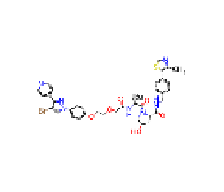 Cc1ncsc1-c1ccc(CNC(=O)[C@@H]2C[C@@H](O)CN2C(=O)[C@@H](NC(=O)COCCOc2ccc(-n3cc(Br)c(-c4ccncc4)n3)cc2)C(C)(C)C)cc1